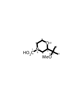 COC(C)(C)C1CN(C(=O)O)CCO1